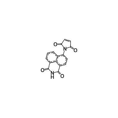 O=C1NC(=O)c2ccc(N3C(=O)C=CC3=O)c3cccc1c23